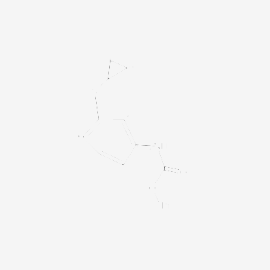 CC(C)OC(=O)Nc1cccc(SC2CC2)c1